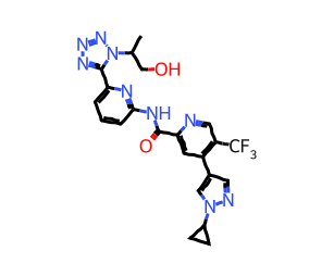 CC(CO)n1nnnc1-c1cccc(NC(=O)c2cc(-c3cnn(C4CC4)c3)c(C(F)(F)F)cn2)n1